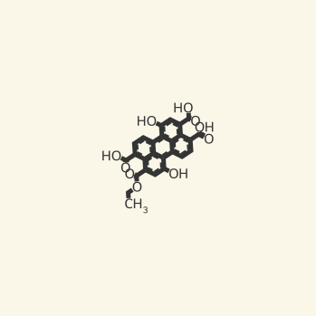 CCOC(=O)c1cc(O)c2c3ccc(C(=O)O)c4c(C(=O)O)cc(O)c(c5ccc(C(=O)O)c1c52)c43